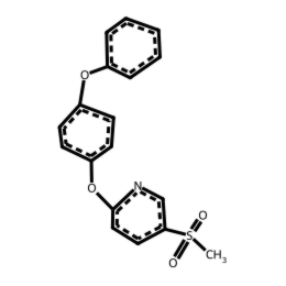 CS(=O)(=O)c1ccc(Oc2ccc(Oc3ccccc3)cc2)nc1